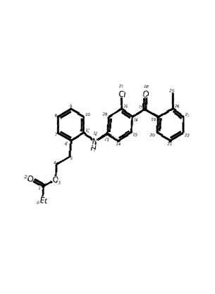 CCC(=O)OCCc1ccccc1Nc1ccc(C(=O)c2ccccc2C)c(Cl)c1